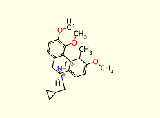 COC1=CC=C2[C@H]3Cc4ccc(OC)c(OC)c4[C@@]2(CCN3CC2CC2)C1C